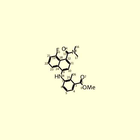 COC(=O)c1cccc(Nc2ccc(C(=O)N(C)C)c3c(F)cccc23)c1C